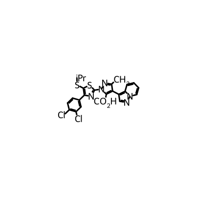 Cc1nn(-c2nc(-c3ccc(Cl)c(Cl)c3)c(SC(C)C)s2)c(C(=O)O)c1-c1cnn2ccccc12